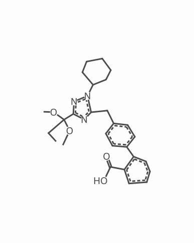 CCC(OC)(OC)c1nc(Cc2ccc(-c3ccccc3C(=O)O)cc2)n(C2CCCCC2)n1